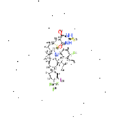 C=Cc1c(F)ccc(N2C3=CCC(C(/C=C\CC(F)(F)F)=C/CI)CC=C3C(C)(C)C3=C2SC(C=C2C(=O)NC(=S)NC2=O)=CC3)c1CCC